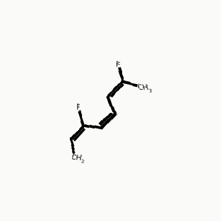 C\C=C(F)/C=C\C=C(/C)F